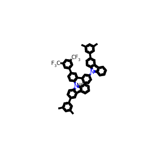 Cc1cc(C)cc(-c2ccc3c(c2)c2ccccc2n3-c2ccc(C#N)c(-c3cc(-c4cc(C(F)(F)F)cc(C(F)(F)F)c4)ccc3-n3c4ccccc4c4cc(-c5cc(C)cc(C)c5)ccc43)c2)c1